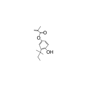 C=C(C)C(=O)Oc1ccc(O)c(C(C)(C)CC)c1